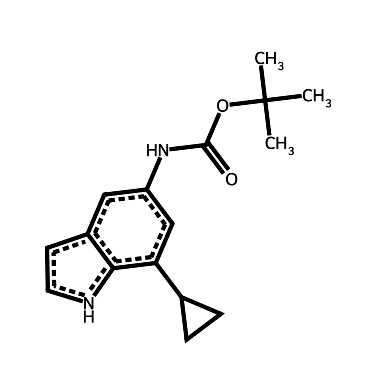 CC(C)(C)OC(=O)Nc1cc(C2CC2)c2[nH]ccc2c1